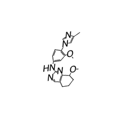 COc1cc(Nc2ncc3c(n2)C(OC)CCC3)ccc1-n1cnc(C)c1